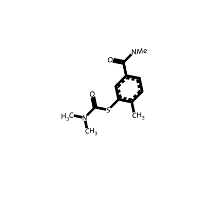 CNC(=O)c1ccc(C)c(SC(=O)N(C)C)c1